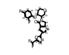 O=C1c2cc(-c3nnc(C(F)F)o3)cnc2CN1C1COCCC1Oc1ccc(F)cc1F